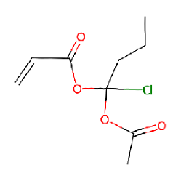 C=CC(=O)OC(Cl)(CCC)OC(C)=O